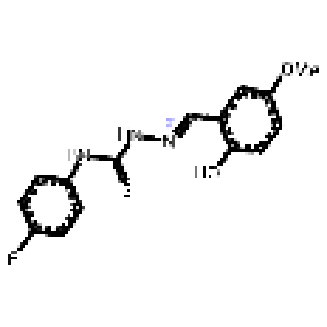 COc1ccc(O)c(/C=N/NC(=S)Nc2ccc(F)cc2)c1